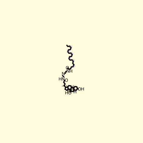 CC/C=C\C/C=C\C/C=C\C/C=C\C/C=C\C/C=C\CCC(=O)NCCN(C)CCNC(=O)CC[C@@H](C)C1CC[C@H]2[C@@H]3[C@H](O)C[C@@H]4C[C@H](O)CC[C@]4(C)[C@H]3CC[C@]12C